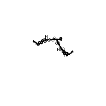 CC(C)CCC[C@@H](C)C1CCC2C3CC=C4C[C@@H](OC(=O)NCCSSCCOC(=O)CCN(CCC(=O)OCCSSCCNC(=O)O[C@H]5CC[C@@]6(C)C(=CC[C@@H]7C6CC[C@@]6(C)C7CC[C@@H]6[C@H](C)CCCC(C)C)C5)CCC5CCCN5C)CC[C@]4(C)C3CC[C@@]21C